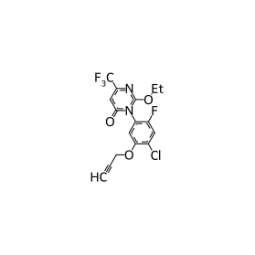 C#CCOc1cc(-n2c(OCC)nc(C(F)(F)F)cc2=O)c(F)cc1Cl